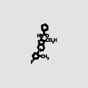 Cc1cc(F)ccc1N1CCc2c(sc(NC(=O)c3ccccc3)c2C(=O)O)C1